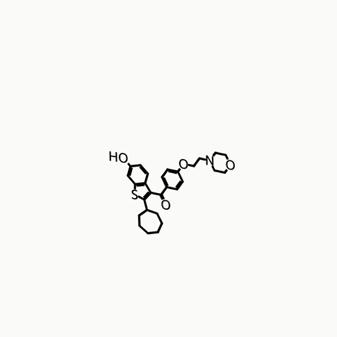 O=C(c1ccc(OCCN2CCOCC2)cc1)c1c(C2CCCCCC2)sc2cc(O)ccc12